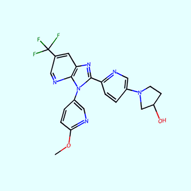 COc1ccc(-n2c(-c3ccc(N4CCC(O)C4)cn3)nc3cc(C(F)(F)F)cnc32)cn1